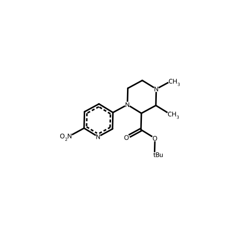 CC1C(C(=O)OC(C)(C)C)N(c2ccc([N+](=O)[O-])nc2)CCN1C